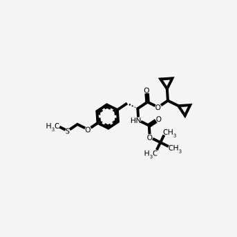 CSCOc1ccc(C[C@@H](NC(=O)OC(C)(C)C)C(=O)OC(C2CC2)C2CC2)cc1